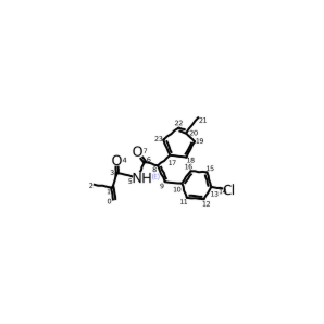 C=C(C)C(=O)NC(=O)/C(=C/c1ccc(Cl)cc1)c1ccc(C)cc1